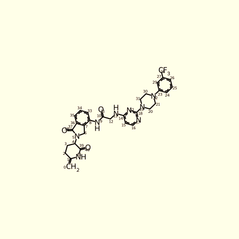 C=C1CCC(N2Cc3c(NC(=O)CNc4ccnc(N5CCN(c6cccc(C(F)(F)F)c6)CC5)n4)cccc3C2=O)C(=O)N1